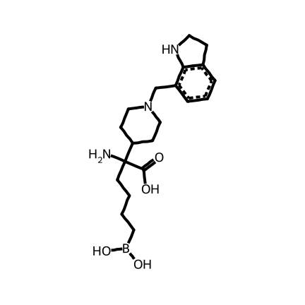 NC(CCCCB(O)O)(C(=O)O)C1CCN(Cc2cccc3c2NCC3)CC1